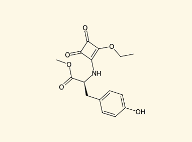 CCOc1c(N[C@@H](Cc2ccc(O)cc2)C(=O)OC)c(=O)c1=O